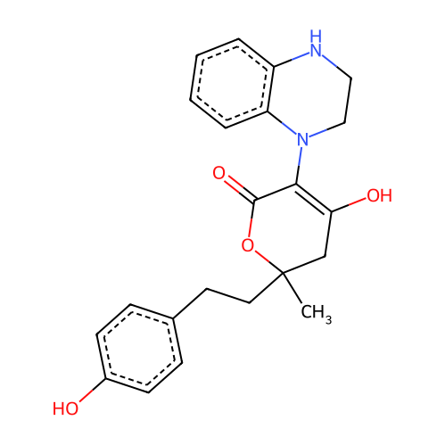 CC1(CCc2ccc(O)cc2)CC(O)=C(N2CCNc3ccccc32)C(=O)O1